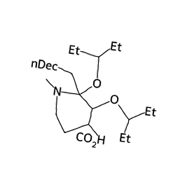 CCCCCCCCCCCC1(OC(CC)CC)C(OC(CC)CC)C(C(=O)O)CCN1C